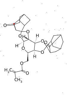 C=C(C)C(=O)OC[C@H]1O[C@H]2OC3(O[C@@H]2[C@H]2OC4(O[C@H]21)C1CC2CC(C1)C(=O)C4C2)C1CC2C(CCC1=O)CC23